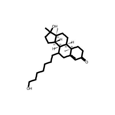 CC1(O)CC[C@H]2[C@@H]3C(CCCCCCCO)CC4=CC(=O)CC[C@]4(C)[C@@H]3CC[C@@]21C